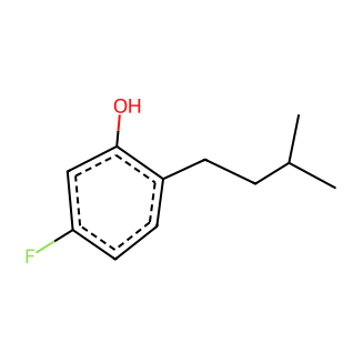 CC(C)CCc1ccc(F)cc1O